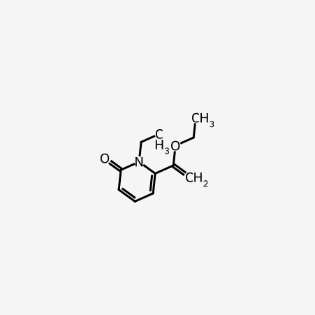 C=C(OCC)c1cccc(=O)n1CC